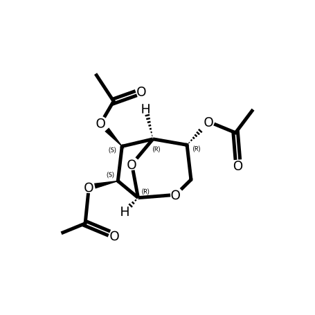 CC(=O)O[C@@H]1[C@H](OC(C)=O)[C@@H]2OC[C@@H](OC(C)=O)[C@H]1O2